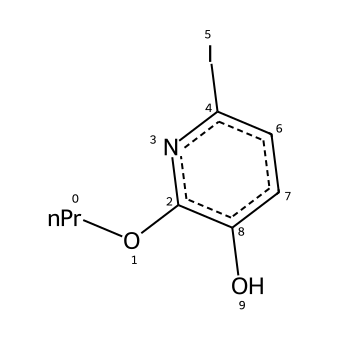 CCCOc1nc(I)ccc1O